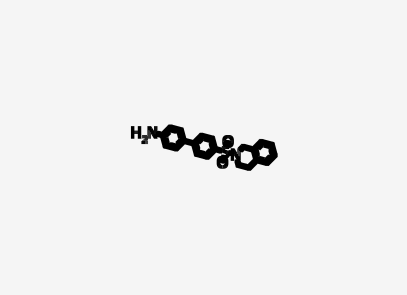 Nc1ccc(-c2ccc(S(=O)(=O)N3CCc4ccccc4C3)cc2)cc1